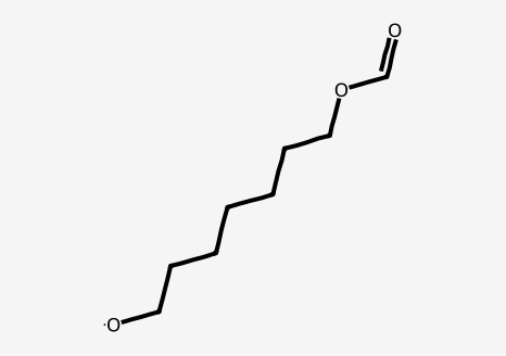 [O]CCCCCCCOC=O